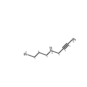 CC(C)C#CCNCCCC(C)C